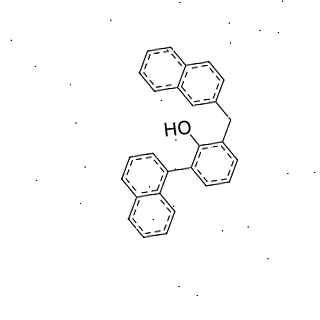 Oc1c(Cc2ccc3ccccc3c2)cccc1-c1cccc2ccccc12